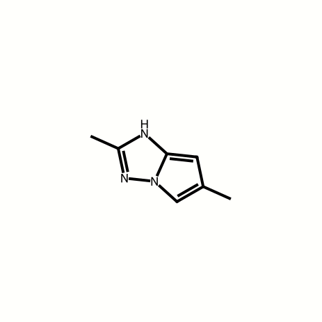 Cc1cc2[nH]c(C)nn2c1